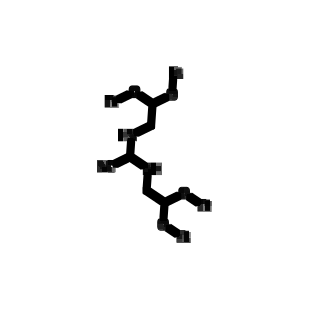 CCOC(CNC(C#N)NCC(OCC)OCC)OCC